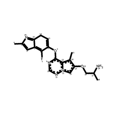 CC1=CC2=C(F)C(Oc3ncnn4cc(OCC(C)N)c(C)c34)=CCC2=N1